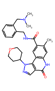 Cc1cc2[nH]c(=O)c3cnn(C4CCOCC4)c3c2cc1C(=O)NCc1ccccc1CN(C)C